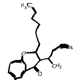 CCCCCCC1Oc2ccccc2C(=O)C1C(C)CC#N